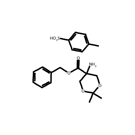 CC1(C)OCC(N)(C(=O)OCc2ccccc2)CO1.Cc1ccc(S(=O)(=O)O)cc1